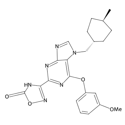 COc1cccc(Oc2nc(-c3noc(=O)[nH]3)nc3ncn(C[C@H]4CC[C@H](C)CC4)c23)c1